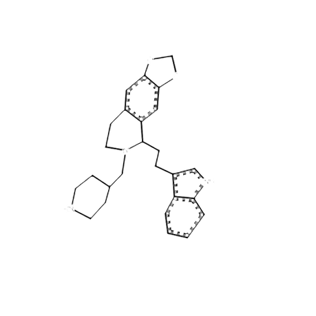 c1ccc2c(CCC3c4cc5c(cc4CCN3CC3CCNCC3)OCO5)c[nH]c2c1